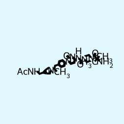 CC(=O)NCC1C2CN(C(C)Cc3ccc(-n4ccc(NC(=O)N5CCN(C(=O)C(C)(C)N)CC5)nc4=O)cc3)CC12